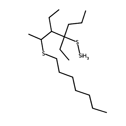 CCCCCCCSC(C)C(CC)C(CC)(CCC)S[SiH3]